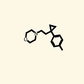 Cc1ccc(C2(CCN3CCOCC3)CC2)cc1